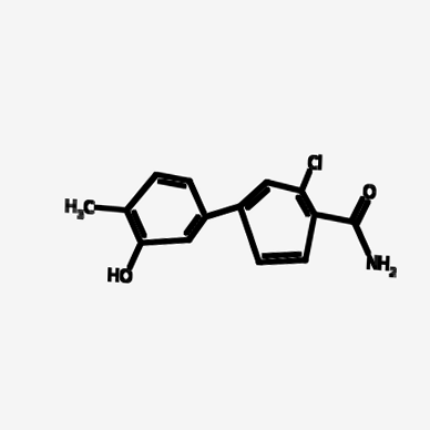 Cc1ccc(-c2ccc(C(N)=O)c(Cl)c2)cc1O